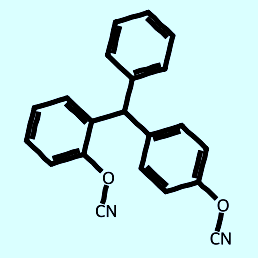 N#COc1ccc(C(c2ccccc2)c2ccccc2OC#N)cc1